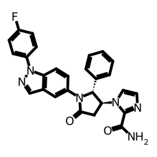 NC(=O)c1nccn1[C@H]1CC(=O)N(c2ccc3c(cnn3-c3ccc(F)cc3)c2)[C@@H]1c1ccccc1